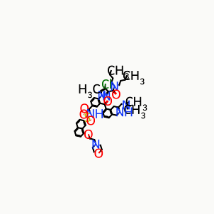 CCCCN(CCCC)C(=O)c1nn(-c2ccc(C(=O)NS(=O)(=O)c3ccc4cccc(OCCN5CCOCC5)c4c3)cc2C(=O)c2cccc3c2CC(CN(C)C)NC3)c(C)c1Cl